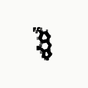 FC(F)(F)c1ccc(Cc2cscc2Br)cc1